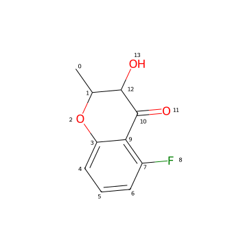 CC1Oc2cccc(F)c2C(=O)C1O